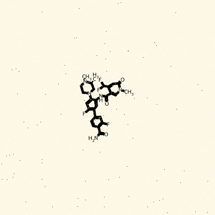 C[C@H]1CN(c2cc(F)c(-c3ccc(C(N)=O)c(F)c3)cc2NC(=O)c2cn(C)c(=O)cc2C(F)F)CCN1C